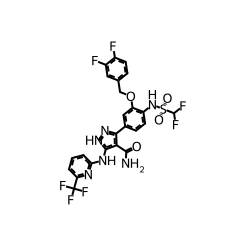 NC(=O)c1c(-c2ccc(NS(=O)(=O)C(F)F)c(OCc3ccc(F)c(F)c3)c2)n[nH]c1Nc1cccc(C(F)(F)F)n1